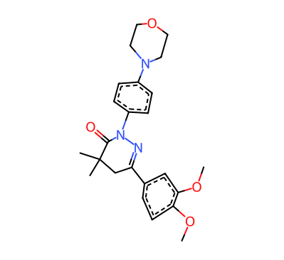 COc1ccc(C2=NN(c3ccc(N4CCOCC4)cc3)C(=O)C(C)(C)C2)cc1OC